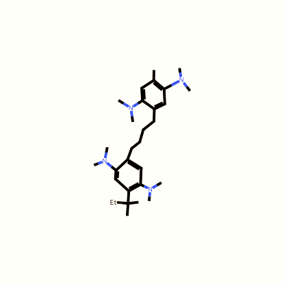 CCC(C)(C)c1cc(N(C)C)c(CCCCc2cc(N(C)C)c(C)cc2N(C)C)cc1N(C)C